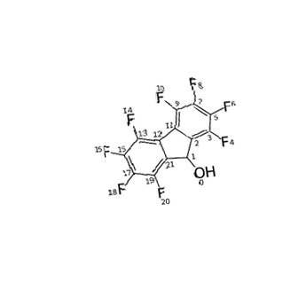 OC1c2c(F)c(F)c(F)c(F)c2-c2c(F)c(F)c(F)c(F)c21